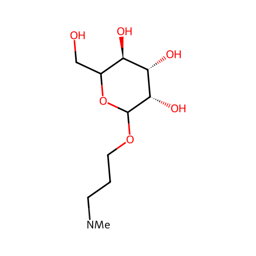 CNCCCOC1OC(CO)[C@@H](O)[C@H](O)[C@@H]1O